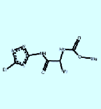 CCCC(NC(=O)OC(C)(C)C)C(=O)Nc1nnc(CC)s1